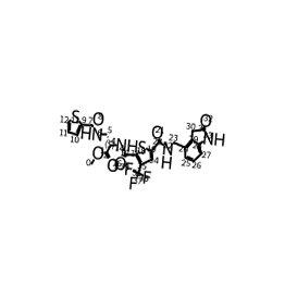 COC(=O)[C@H](CNC(=O)c1cccs1)NC(=O)c1sc(C(=O)NCc2cccc3c2CC(=O)N3)cc1C(F)(F)F